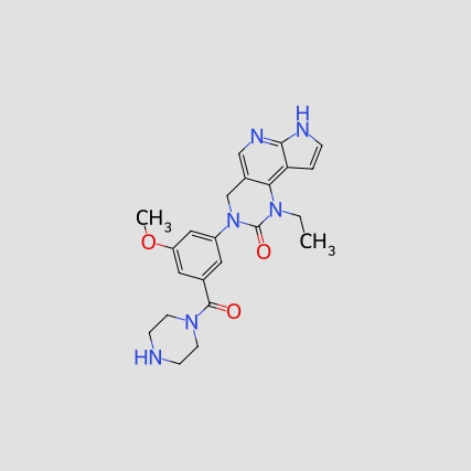 CCN1C(=O)N(c2cc(OC)cc(C(=O)N3CCNCC3)c2)Cc2cnc3[nH]ccc3c21